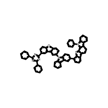 c1ccc(-c2nc(-c3ccccc3)nc(-c3ccc4oc5ccc(-n6c7ccccc7c7cc(-c8cccc9c8sc8c9ccc9c%10ccccc%10n(-c%10ccccc%10)c98)ccc76)cc5c4c3)n2)cc1